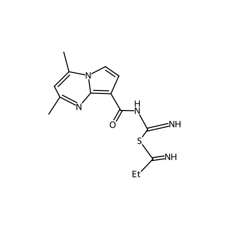 CCC(=N)SC(=N)NC(=O)c1ccn2c(C)cc(C)nc12